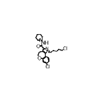 O=C(NN1CCCCC1)c1nn(CCCCCCl)c2c1CCOc1cc(Cl)ccc1-2